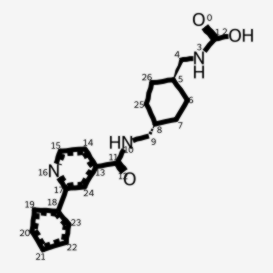 O=C(O)NC[C@H]1CC[C@H](CNC(=O)c2ccnc(-c3ccccc3)c2)CC1